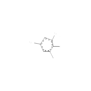 Cc1cc(C#N)cc([N+](=O)[O-])c1F